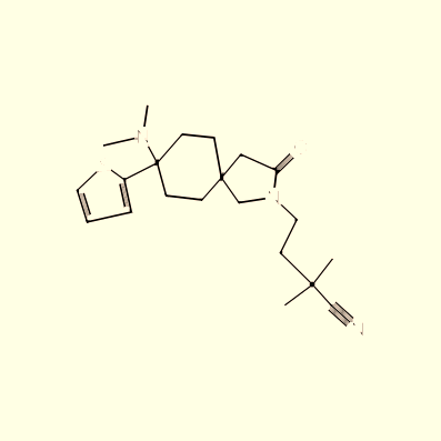 CN(C)C1(c2cccs2)CCC2(CC1)CC(=O)N(CCC(C)(C)C#N)C2